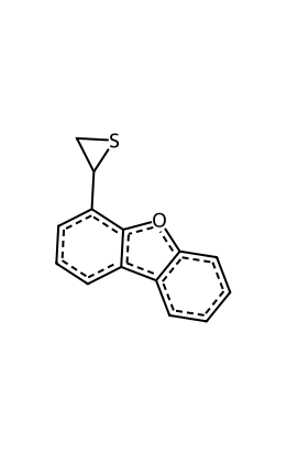 c1ccc2c(c1)oc1c(C3CS3)cccc12